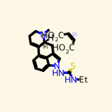 CCNC(=S)Nn1cc2c3c(cccc31)C1=CCCN(C)[C@@H]1C2.O=C(O)/C=C\C(=O)O